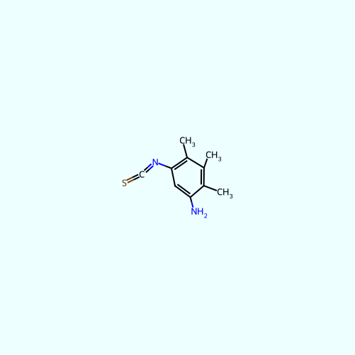 Cc1c(N)cc(N=C=S)c(C)c1C